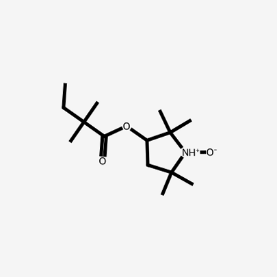 CCC(C)(C)C(=O)OC1CC(C)(C)[NH+]([O-])C1(C)C